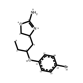 CCC(CC1COC(N)=N1)Oc1ccc(Br)cc1